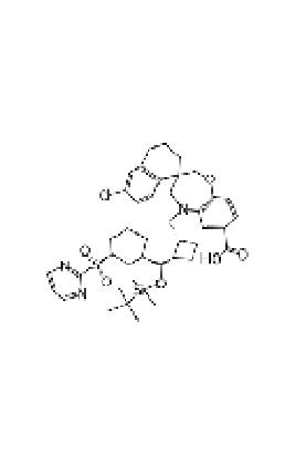 CC(C)(C)[Si](C)(C)OC([C@@H]1CCC[C@H](S(=O)(=O)c2ncccn2)C1)[C@@H]1CC[C@H]1CN1CC2(CCCc3cc(Cl)ccc32)COc2ccc(C(=O)O)cc21